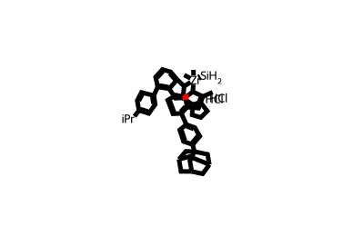 CC1=Cc2c(-c3ccc(C45CC6CC(CC(C6)C4)C5)cc3)cccc2[CH]1[Zr]([CH3])([CH3])(=[SiH2])[CH]1C(C2CCCC2)=Cc2c(-c3ccc(C(C)C)cc3)cccc21.Cl.Cl